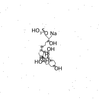 C[C@H](CC[C@@H](O)C([CH2][Na])COS(=O)(=O)O)[C@H]1CC[C@H]2[C@@H]3[C@H](O)CC4C[C@H](O)CC[C@]4(C)[C@H]3C[C@H](O)[C@]12C